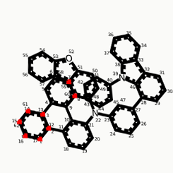 c1ccc(-c2ccccc2-c2c(-c3ccccc3)cccc2N(c2cccc(-c3cccc4c5ccccc5n(-c5ccccc5)c34)c2)c2ccc3oc4ccccc4c3c2)cc1